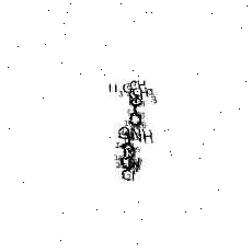 CC(C)(C)Cn1cc(-c2ccc(NC(=O)C3CN(c4ccc(Cl)nn4)C3)cc2)cn1